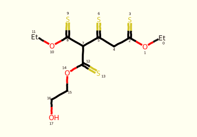 CCOC(=S)CC(=S)C(C(=S)OCC)C(=S)OCCO